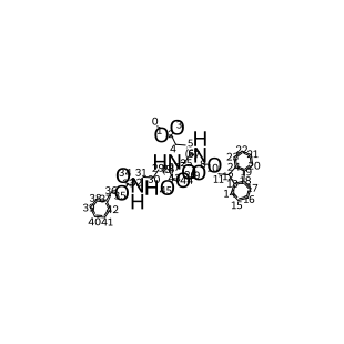 COC(=O)CC[C@H](NC(=O)OCC1c2ccccc2-c2ccccc21)C(=O)N[C@@H](CCCNC(=O)OCc1ccccc1)C(=O)O